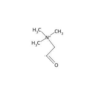 C[N+](C)(C)C[C]=O